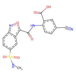 CNS(=O)(=O)c1ccc2noc(C(=O)Nc3ccc(C#N)cc3C(=O)O)c2c1